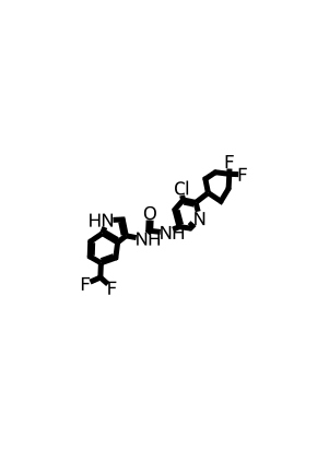 O=C(Nc1cnc(C2CCC(F)(F)CC2)c(Cl)c1)Nc1c[nH]c2ccc(C(F)F)cc12